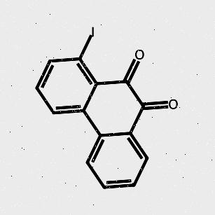 O=C1C(=O)c2c(I)cccc2-c2ccccc21